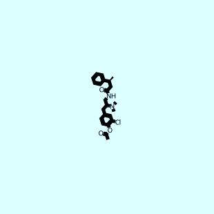 CC(=O)Oc1ccc(CC(CNC(=O)C[C@H](C)c2ccccc2)N(C)C)cc1Cl